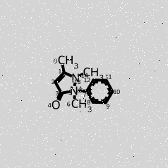 CC1=CC(=O)[N+](C)(c2ccccc2)N1C